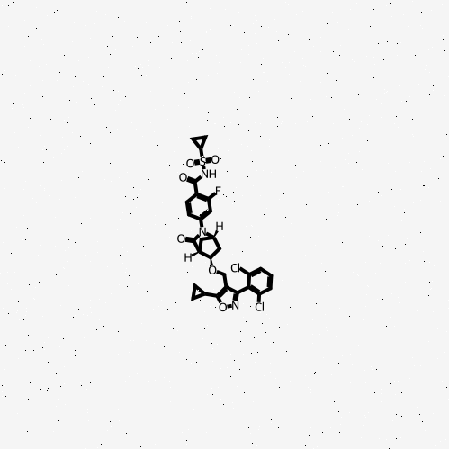 O=C(NS(=O)(=O)C1CC1)c1ccc(N2C(=O)[C@@H]3C[C@H]2C[C@H]3OCc2c(-c3c(Cl)cccc3Cl)noc2C2CC2)cc1F